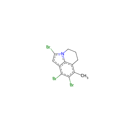 Cc1c(Br)c(Br)c2cc(Br)n3c2c1CCC3